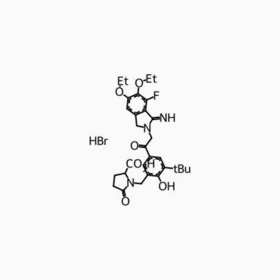 Br.CCOc1cc2c(c(F)c1OCC)C(=N)N(CC(=O)c1cc(CN3C(=O)CCC3C(=O)O)c(O)c(C(C)(C)C)c1)C2